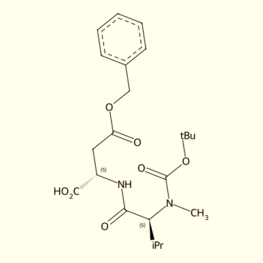 CC(C)[C@@H](C(=O)N[C@@H](CC(=O)OCc1ccccc1)C(=O)O)N(C)C(=O)OC(C)(C)C